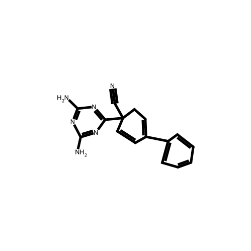 N#CC1(c2nc(N)nc(N)n2)C=CC(c2ccccc2)=CC1